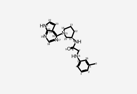 Cc1cccc(NCC(=O)N[C@@H]2CCCN(c3ncnc4[nH]ccc34)C2)c1